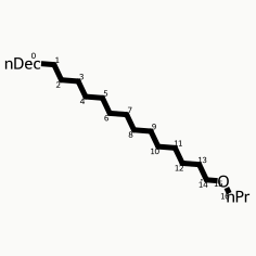 CCCCCCCCCCCCCCCCCCCCCCC[CH]OCCC